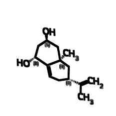 C=C(C)[C@@H]1CC=C2[C@H](O)C[C@@H](O)C[C@@]2(C)C1